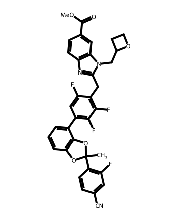 COC(=O)c1ccc2nc(Cc3c(F)cc(-c4cccc5c4OC(C)(c4ccc(C#N)cc4F)O5)c(F)c3F)n(CC3CCO3)c2c1